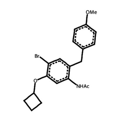 COc1ccc(Cc2cc(Br)c(OC3CCC3)cc2NC(C)=O)cc1